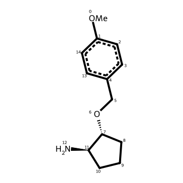 COc1ccc(CO[C@@H]2CCC[C@H]2N)cc1